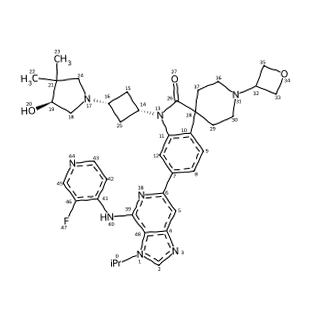 CC(C)n1cnc2cc(-c3ccc4c(c3)N([C@H]3C[C@@H](N5C[C@@H](O)C(C)(C)C5)C3)C(=O)C43CCN(C4COC4)CC3)nc(Nc3ccncc3F)c21